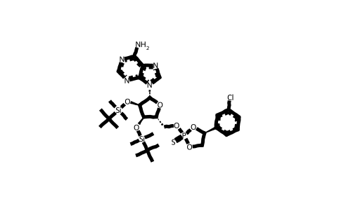 CC(C)(C)[Si](C)(C)O[C@@H]1[C@H](O[Si](C)(C)C(C)(C)C)[C@@H](COP2(=S)OC[C@H](c3cccc(Cl)c3)O2)O[C@H]1n1cnc2c(N)ncnc21